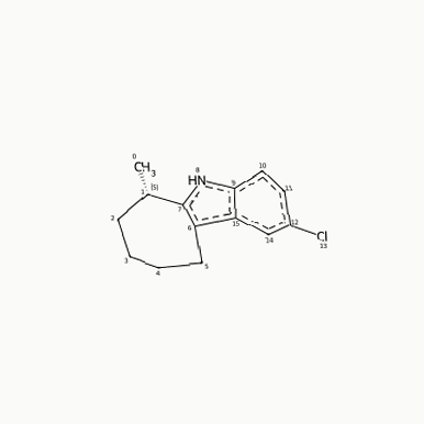 C[C@H]1CCCCc2c1[nH]c1ccc(Cl)cc21